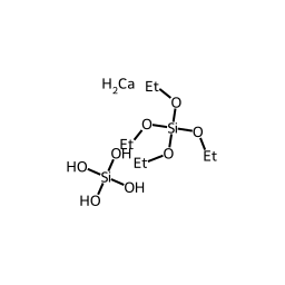 CCO[Si](OCC)(OCC)OCC.O[Si](O)(O)O.[CaH2]